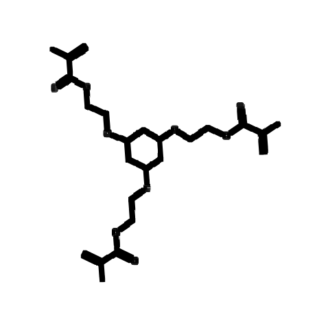 C=C(C)C(=O)OCCOC1CC(OCCOC(=O)C(=C)C)CC(OCCOC(=O)C(=C)C)C1